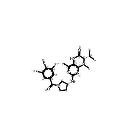 Cc1nc(N[C@@H]2CCN(C(=O)c3cc(F)c(F)c(F)c3)C2)nc2c1NC(=O)[C@H](C(C)C)N2C